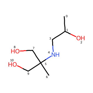 CC(O)CNC(C)(CO)CO